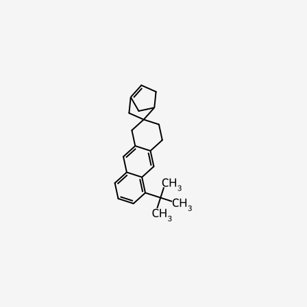 CC(C)(C)c1cccc2cc3c(cc12)CCC1(CC2=CCC1C2)C3